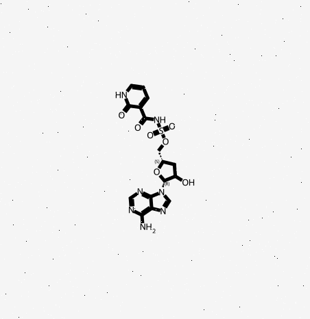 Nc1ncnc2c1ncn2[C@@H]1O[C@H](COS(=O)(=O)NC(=O)c2ccc[nH]c2=O)CC1O